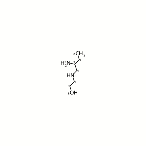 CCC(N)CNCCO